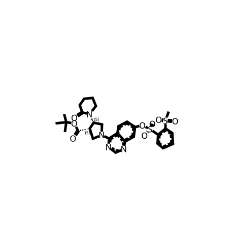 CC(C)(C)OC(=O)[C@H]1CN(c2ncnc3cc(OS(=O)(=O)c4ccccc4S(C)(=O)=O)ccc23)C[C@H]1N1CCCCC1=O